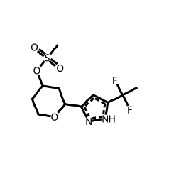 CC(F)(F)c1cc(C2CC(OS(C)(=O)=O)CCO2)n[nH]1